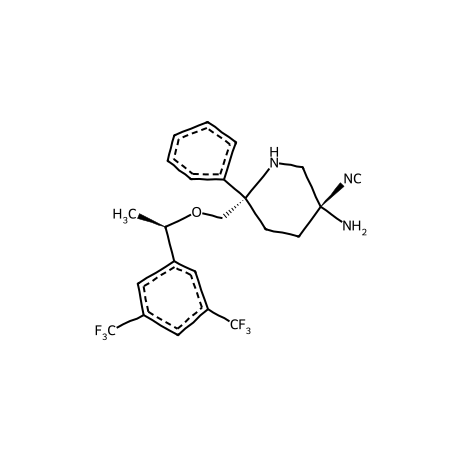 [C-]#[N+][C@@]1(N)CC[C@@](CO[C@H](C)c2cc(C(F)(F)F)cc(C(F)(F)F)c2)(c2ccccc2)NC1